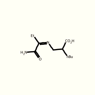 CCCCC(CN=C(CC)C(N)=O)C(=O)O